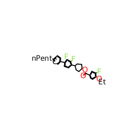 CCCCCc1ccc(-c2ccc(C3CCC(OC(=O)c4ccc(OCC)c(F)c4)CC3)c(F)c2F)cc1